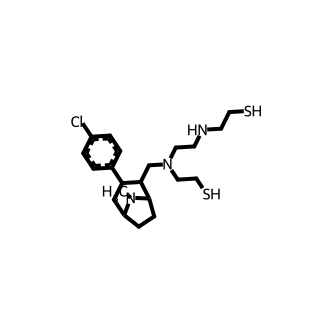 CN1C2CCC1C(CN(CCS)CCNCCS)C(c1ccc(Cl)cc1)C2